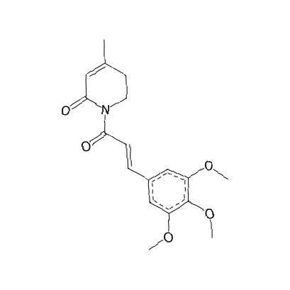 COc1cc(C=CC(=O)N2CCC(C)=CC2=O)cc(OC)c1OC